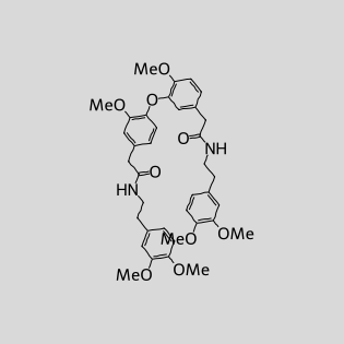 COc1ccc(CCNC(=O)Cc2ccc(Oc3cc(CC(=O)NCCc4ccc(OC)c(OC)c4)ccc3OC)c(OC)c2)cc1OC